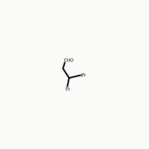 CCC(CC=O)C(C)C